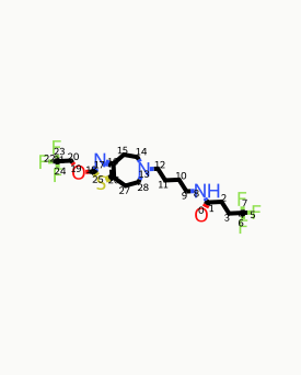 O=C(CCC(F)(F)F)NCCCCN1CCc2nc(OCC(F)(F)F)sc2CC1